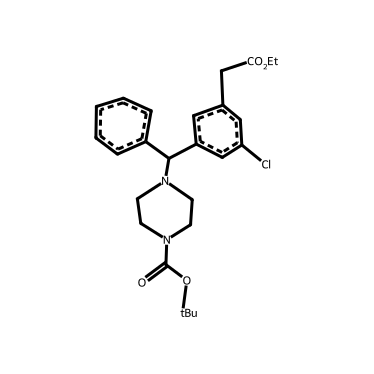 CCOC(=O)Cc1cc(Cl)cc(C(c2ccccc2)N2CCN(C(=O)OC(C)(C)C)CC2)c1